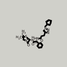 CC1(C)CN2C(=O)[C@@H](NC(=O)[C@H](NC(=O)CCc3cn(Cc4ccccc4)nn3)c3ccccc3)C2S1